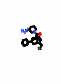 CCC=C1C2CC3(C(=O)N4CCC[C@H](N)C4)CC1CC(c1ccccc1)(C2)C3